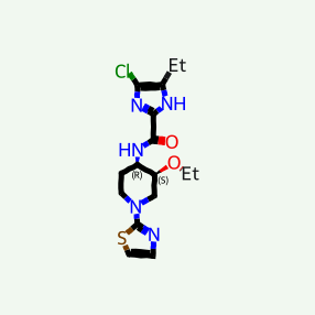 CCO[C@H]1CN(c2nccs2)CC[C@H]1NC(=O)c1nc(Cl)c(CC)[nH]1